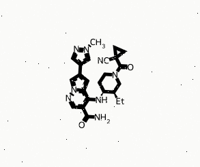 CC[C@@H]1CN(C(=O)C2(C#N)CC2)CC[C@H]1Nc1c(C(N)=O)cnn2cc(-c3cnn(C)c3)cc12